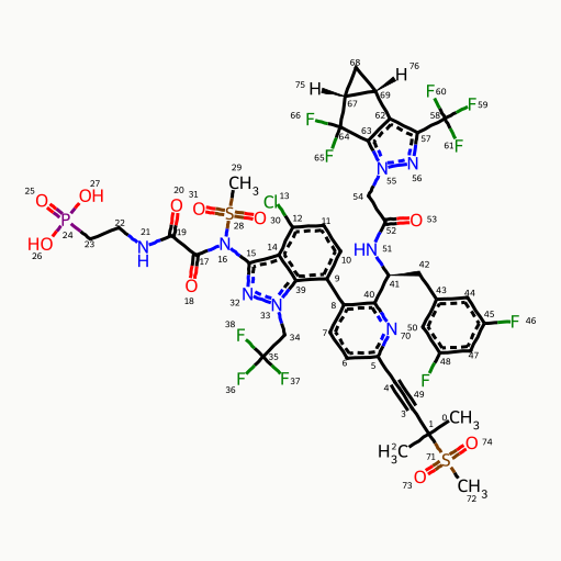 CC(C)(C#Cc1ccc(-c2ccc(Cl)c3c(N(C(=O)C(=O)NCCP(=O)(O)O)S(C)(=O)=O)nn(CC(F)(F)F)c23)c([C@H](Cc2cc(F)cc(F)c2)NC(=O)Cn2nc(C(F)(F)F)c3c2C(F)(F)[C@@H]2C[C@H]32)n1)S(C)(=O)=O